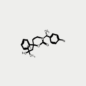 C[C@@H](c1ccc(Br)cc1)N1CCC(CC(C)(C)O)(c2ccccc2)OC1=O